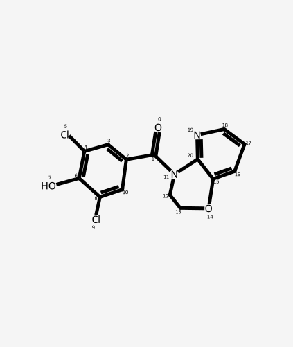 O=C(c1cc(Cl)c(O)c(Cl)c1)N1CCOc2cccnc21